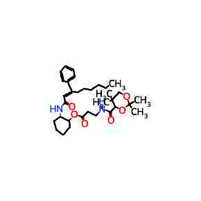 CCCCCC/C(=C\C(=O)N[C@H]1CCCC[C@@H]1OC(=O)CCNC(=O)C1OC(C)(C)OCC1(C)C)c1ccccc1